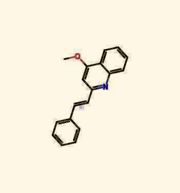 COc1cc(/C=C/c2ccccc2)nc2ccccc12